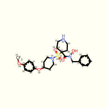 O=C(N(O)Cc1ccccc1)C1(S(=O)(=O)N2CCC(Oc3ccc(OC(F)(F)F)cc3)CC2)CCNCC1